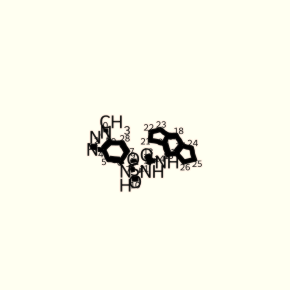 Cn1nnc2cc(NS(=O)(=O)NC(=O)Nc3c4c(cc5c3CCC5)CCC4)ccc21